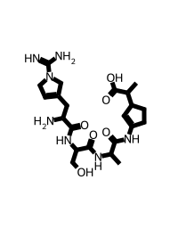 CC(NC(=O)C(CO)NC(=O)C(N)CC1=CCN(C(=N)N)C1)C(=O)NC1=CC(C(C)C(=O)O)CC1